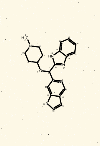 CN1CCC(OC(c2ccc3ccsc3c2)c2nc3ccccc3[nH]2)CC1